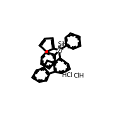 Cl.Cl.[SiH2]=[Zr]([C]1=CC=CC1)([c]1ccccc1)([c]1ccccc1)[c]1cccc2c1Cc1ccccc1-2